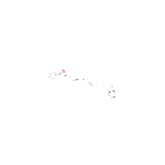 CC(=O)OC(CCCCCC#CCSCC#CCCCCCC(OC(C)=O)c1ccccc1)c1ccccc1